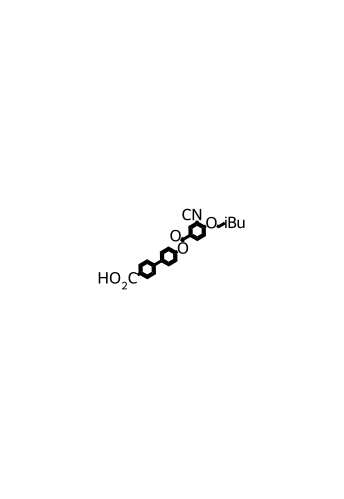 CCC(C)COc1ccc(C(=O)Oc2ccc(-c3ccc(C(=O)O)cc3)cc2)cc1C#N